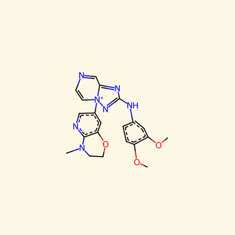 COc1ccc(NC2=N[N+]3(c4cnc5c(c4)OCCN5C)C=CN=CC3=N2)cc1OC